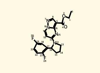 CCOC(=O)c1cnn2ccc(N3CCCC3c3cc(F)ccc3F)nc12